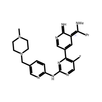 CN/C(=C1/C=C(c2nc(Nc3ccc(CN4CCN(C)CC4)cn3)ncc2F)C=NC1=N)C(C)C